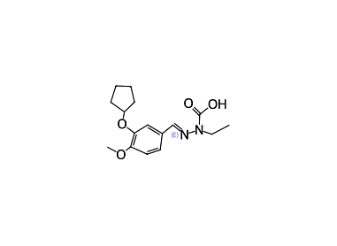 CCN(/N=C/c1ccc(OC)c(OC2CCCC2)c1)C(=O)O